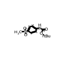 CC(C)(C)OC(=O)Nc1ccc(S(C)(=O)=O)cc1